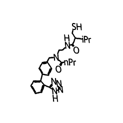 CCCC(=O)N(CCNC(=O)C(CS)C(C)C)Cc1ccc(-c2ccccc2-c2nnn[nH]2)cc1